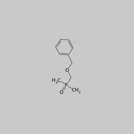 CP(C)(=O)COCc1ccccc1